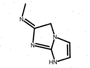 C/N=C1\CN2C=CNC2=N1